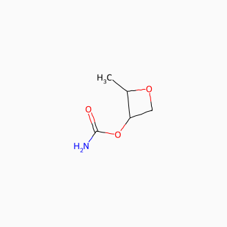 CC1OCC1OC(N)=O